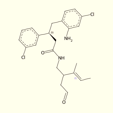 C/C=C(\C)C(CC=O)CNC(=O)C[C@H](Cc1ccc(Cl)cc1N)c1cccc(Cl)c1